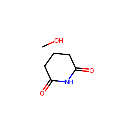 CO.O=C1CCCC(=O)N1